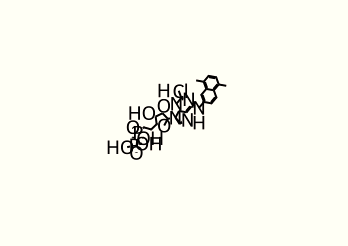 Cc1ccc(C)c2cc(Nc3nc(Cl)nc4c3ncn4C3OC(CCP(=O)(O)CP(=O)(O)O)C(O)C3O)ccc12